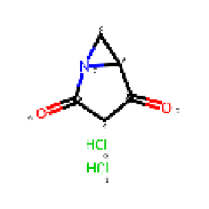 Cl.Cl.O=C1CC(=O)N2CC12